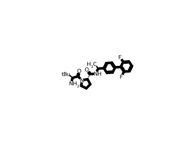 C[C@H](NC(=O)[C@@H]1CCCN1C(=O)[C@@H](N)C(C)(C)C)c1ccc(-c2c(F)cccc2F)cc1